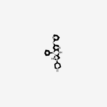 C1=C(Nc2ncc(Sc3ccccn3)cc2Oc2ccccc2)SNN1C1CCNCC1